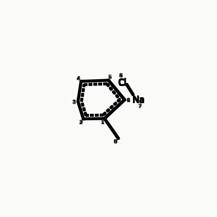 Cc1ccccc1.[Na][Cl]